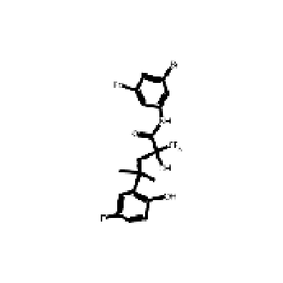 CC(C)(CC(O)(C(=O)Nc1cc(Br)cc(Br)c1)C(F)(F)F)c1cc(F)ccc1O